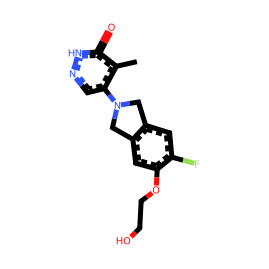 Cc1c(N2Cc3cc(F)c(OCCO)cc3C2)cn[nH]c1=O